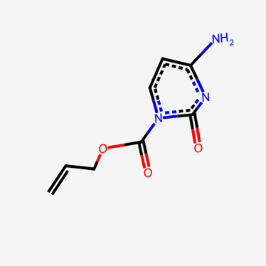 C=CCOC(=O)n1ccc(N)nc1=O